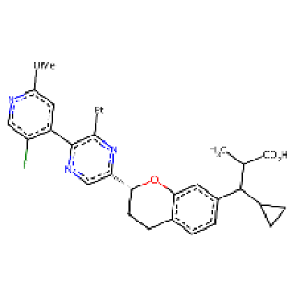 CCc1nc([C@H]2CCc3ccc(C(C4CC4)C(C)C(=O)O)cc3O2)cnc1-c1cc(OC)ncc1F